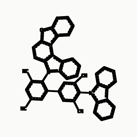 N#Cc1cc(C#N)c(-n2c3ccccc3c3c4c(ccc32)oc2ccccc24)c(-c2cc(C#N)c(-n3c4ccccc4c4ccccc43)c(C#N)c2)c1